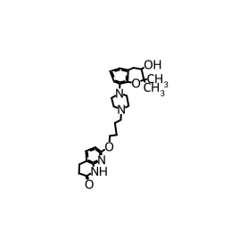 CC1(C)Oc2c(cccc2N2CCN(CCCCOc3ccc4c(n3)NC(=O)CC4)CC2)CC1O